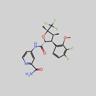 COc1c([C@H]2[C@H](C(=O)Nc3ccnc(C(N)=O)c3)O[C@](C)(C(F)(F)F)[C@H]2C)ccc(F)c1F